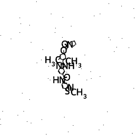 Cc1nc2cc(NC(=O)c3ccc4nc(-c5c(C)cc(OCC(=O)N6CCCC6)cc5C)[nH]c4c3)ccc2s1